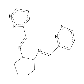 C(=N\C1CCCCC1/N=C/c1cccnn1)/c1cccnn1